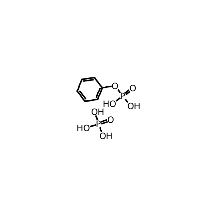 O=P(O)(O)O.O=P(O)(O)Oc1ccccc1